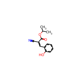 CC(C)OC(=O)C(C#N)=Cc1ccccc1O